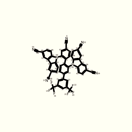 N#Cc1ccc(-c2ccc(-c3cc(C(F)(F)F)cc(C(F)(F)F)c3)cc2-n2c3ccc(C#N)cc3c3cc(C#N)ccc32)c(-n2c3ccc(C#N)cc3c3cc(C#N)ccc32)c1